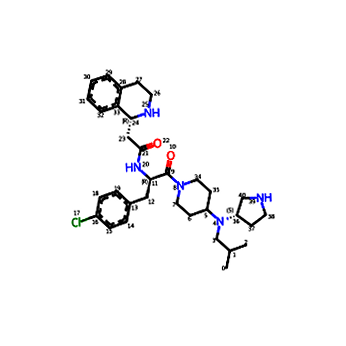 CC(C)CN(C1CCN(C(=O)[C@@H](Cc2ccc(Cl)cc2)NC(=O)C[C@H]2NCCc3ccccc32)CC1)[C@H]1CCNC1